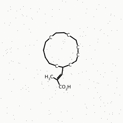 CC(=CC1CCCCCCCCCCCCCC1)C(=O)O